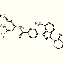 C=C/N=C(\C=C(/C)C(F)(F)F)NC(=O)c1ccc(-c2nc(C3CCCCN3C(C)=O)n3ccnc(N)c23)cc1